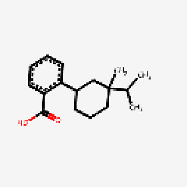 CC(C)C1(C)CCCC(c2ccccc2C(=O)O)C1